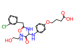 O=C(O)CCCOc1ccc(NC(NC(=O)Cc2cccc(Cl)c2)C(=O)NCCO)cc1